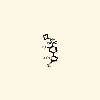 Cn1c(C#N)ccc1-c1ccc(S(=O)(=O)NC2CCC2)c(C(F)(F)F)c1